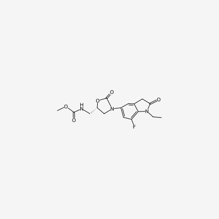 CCN1C(=O)Cc2cc(N3C[C@H](CNC(=O)OC)OC3=O)cc(F)c21